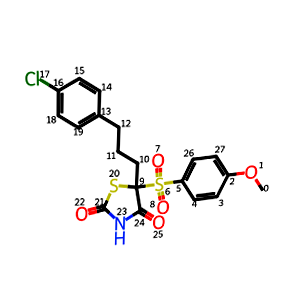 COc1ccc(S(=O)(=O)C2(CCCc3ccc(Cl)cc3)SC(=O)NC2=O)cc1